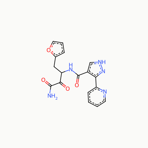 NC(=O)C(=O)C(Cc1ccco1)NC(=O)c1c[nH]nc1-c1ccccn1